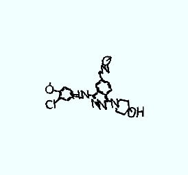 CON=Cc1ccc2c(N3CCC(O)CC3)nnc(NCc3ccc(OC)c(Cl)c3)c2c1